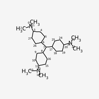 CN(C)C1CCC(C(C2CCC(N(C)C)CC2)C2CCC(N(C)C)CC2)CC1